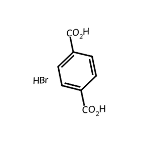 Br.O=C(O)c1ccc(C(=O)O)cc1